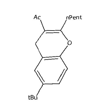 CCCCCC1=C(C(C)=O)Cc2cc(C(C)(C)C)ccc2O1